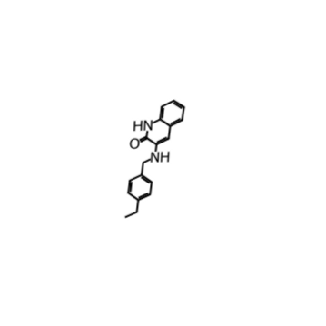 CCc1ccc(CNc2cc3ccccc3[nH]c2=O)cc1